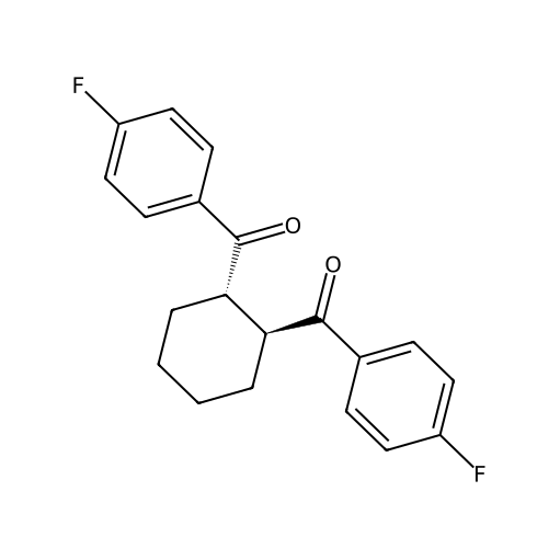 O=C(c1ccc(F)cc1)[C@H]1CCCC[C@@H]1C(=O)c1ccc(F)cc1